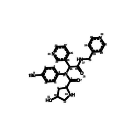 CC(C)(C)c1ccc(N(C(=O)C2CC(O)CN2)C(C(=O)NCc2ccncc2)c2cccnc2)cc1